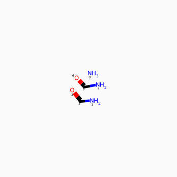 N.NC=O.NC=O